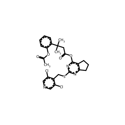 CC(=O)Oc1ccccc1C(C)(C)CC(=O)Oc1nc(SCc2c(Cl)cncc2Cl)nc2c1CCC2